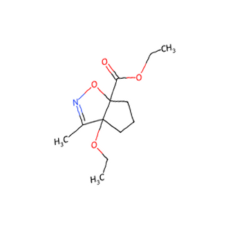 CCOC(=O)C12CCCC1(OCC)C(C)=NO2